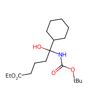 CCOC(=O)CCCC(O)(NC(=O)OC(C)(C)C)C1CCCCC1